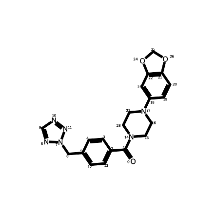 O=C(c1ccc(Cn2ncnn2)cc1)N1CCN(c2ccc3c(c2)OCO3)CC1